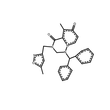 Cc1cc(CN2CN(C(c3ccccc3)c3ccccc3)n3ccc(=O)c(C)c3C2=O)no1